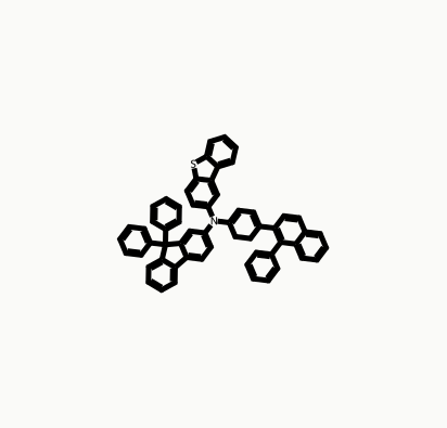 C1=C(c2ccc3ccccc3c2-c2ccccc2)CCC(N(c2ccc3c(c2)C(c2ccccc2)(c2ccccc2)c2ccccc2-3)c2ccc3sc4ccccc4c3c2)=C1